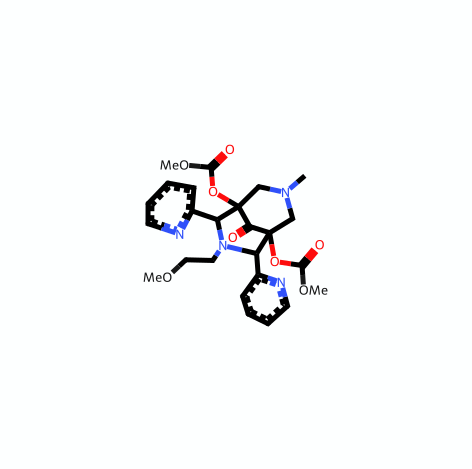 COCCN1C(c2ccccn2)C2(OC(=O)OC)CN(C)CC(OC(=O)OC)(C2=O)C1c1ccccn1